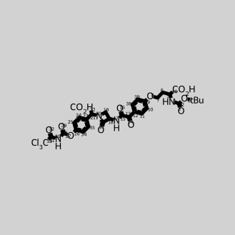 CC(C)(C)OC(=O)NC(CCOc1ccc(C(=O)C(=O)NC2CN(C(C(=O)O)c3ccc(OC(=O)NC(=O)C(Cl)(Cl)Cl)cc3)C2=O)cc1)C(=O)O